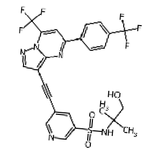 CC(C)(CO)NS(=O)(=O)c1cncc(C#Cc2cnn3c(C(F)(F)F)cc(-c4ccc(C(F)(F)F)cc4)nc23)c1